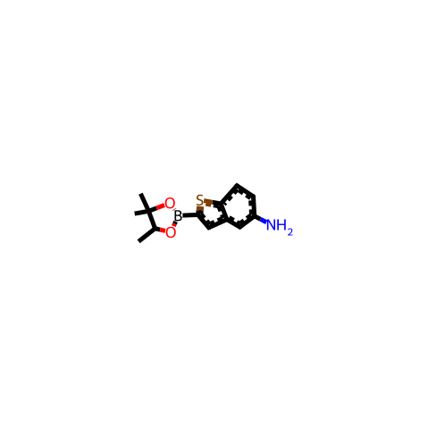 CC1OB(c2cc3cc(N)ccc3s2)OC1(C)C